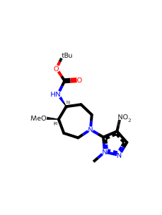 CO[C@@H]1CCN(c2c([N+](=O)[O-])cnn2C)CC[C@@H]1NC(=O)OC(C)(C)C